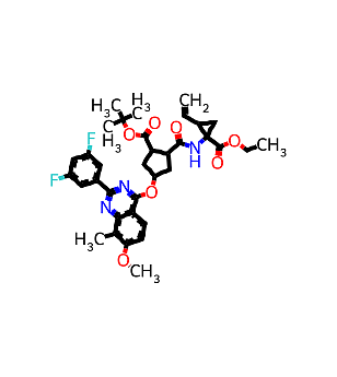 C=CC1CC1(NC(=O)C1CC(Oc2nc(-c3cc(F)cc(F)c3)nc3c(C)c(OC)ccc23)CC1C(=O)OC(C)(C)C)C(=O)OCC